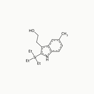 CC[Si](CC)(CC)c1[nH]c2ccc(C)cc2c1CCO